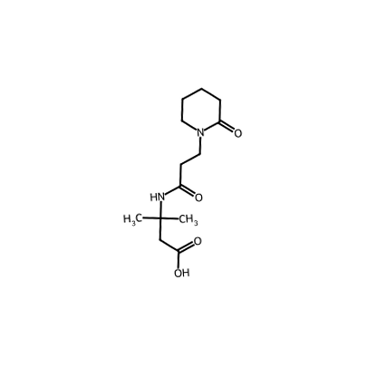 CC(C)(CC(=O)O)NC(=O)CCN1CCCCC1=O